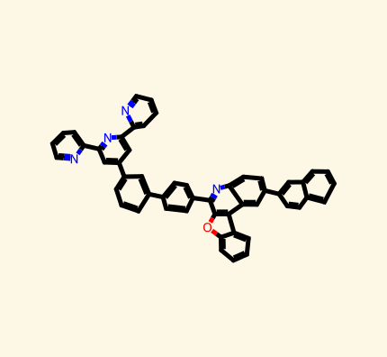 c1ccc(-c2cc(-c3cccc(-c4ccc(-c5nc6ccc(-c7ccc8ccccc8c7)cc6c6c5oc5ccccc56)cc4)c3)cc(-c3ccccn3)n2)nc1